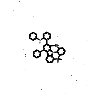 CC1(C)c2cccc3c2-n2c4c1cccc4c1c(-c4ccccc4)cc(-c4ccccc4Nc4ccccc4)c(c12)B3